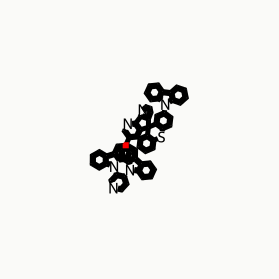 c1ccc2c(c1)Sc1ccc(-n3c4ccccc4c4ccccc43)cc1C21c2cccnc2-c2ncc(-c3ccc4c(c3)c3ccccc3n4-c3cnccc3-n3c4ccccc4c4ccccc43)cc21